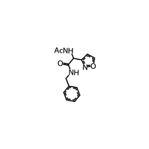 CC(=O)NC(C(=O)NCc1ccccc1)c1ccon1